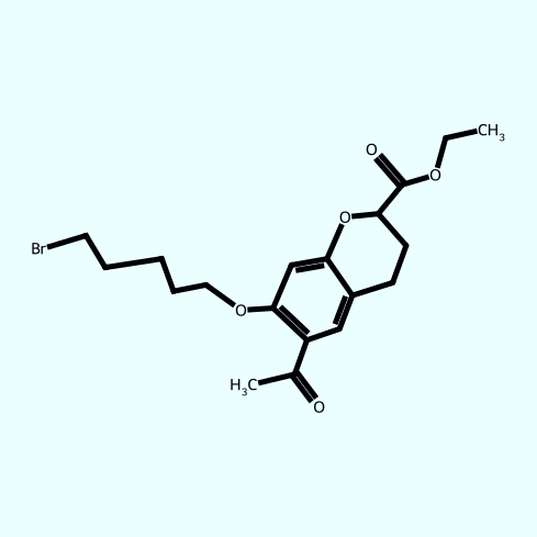 CCOC(=O)C1CCc2cc(C(C)=O)c(OCCCCCBr)cc2O1